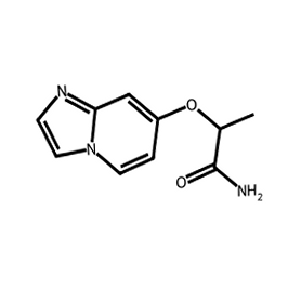 CC(Oc1ccn2ccnc2c1)C(N)=O